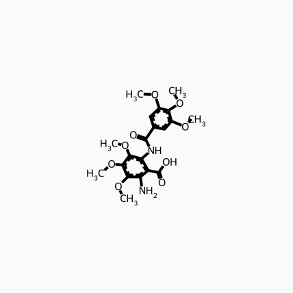 COc1cc(C(=O)Nc2c(OC)c(OC)c(OC)c(N)c2C(=O)O)cc(OC)c1OC